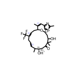 C/C(=C/c1csc(C)n1)C1C/C=C(/C(F)(F)F)C/C=C/C(C)[C@H](O)[C@@H](C)C(=O)C(C)(C)C(O)CC(=O)O1